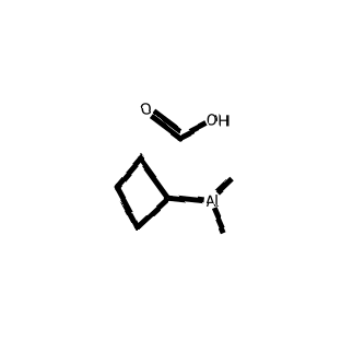 O=CO.[CH3][Al]([CH3])[CH]1CCC1